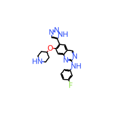 Fc1cccc(Nc2ncc3cc(-c4cnn[nH]4)c(OC4CCNCC4)cc3n2)c1